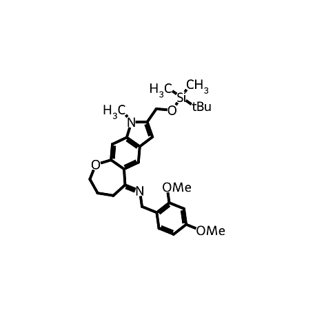 COc1ccc(CN=C2CCCOc3cc4c(cc32)cc(CO[Si](C)(C)C(C)(C)C)n4C)c(OC)c1